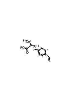 C=Cc1ccc(CNC(CO)C(=O)O)cc1